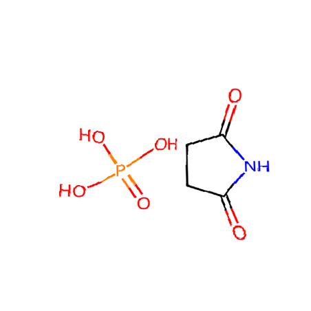 O=C1CCC(=O)N1.O=P(O)(O)O